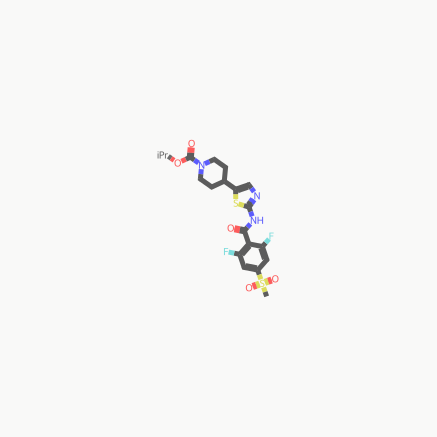 CC(C)OC(=O)N1CCC(c2cnc(NC(=O)c3c(F)cc(S(C)(=O)=O)cc3F)s2)CC1